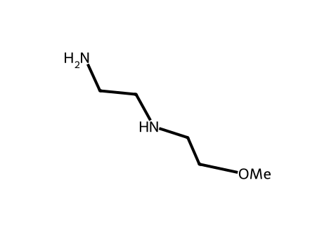 [CH2]OCCNCCN